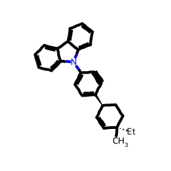 CC[C@]1(C)C=C[C@@H](c2c#cc(-n3c4ccccc4c4ccccc43)cc2)CC1